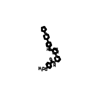 COc1ccc(C(=O)N[C@@H]2CCCN(c3nncc(Nc4ccc(C5CCN(C6CCCC6)CC5)cc4)n3)C2)cc1